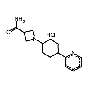 Cl.NC(=O)C1CN(C2CCC(c3ccccn3)CC2)C1